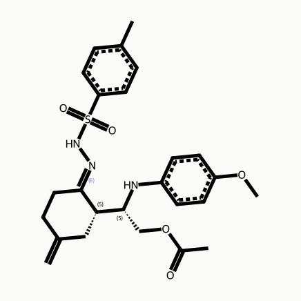 C=C1CC/C(=N\NS(=O)(=O)c2ccc(C)cc2)[C@H]([C@@H](COC(C)=O)Nc2ccc(OC)cc2)C1